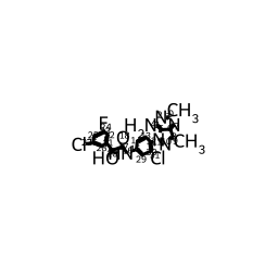 Cc1nc(N)c2c(n1)c(C)nn2-c1ccc(NC(=O)[C@H](O)c2cc(F)cc(Cl)c2)cc1Cl